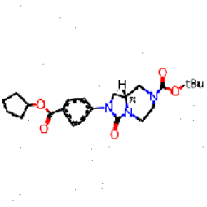 CC(C)(C)OC(=O)N1CCN2C(=O)N(c3ccc(C(=O)OC4CCCC4)cc3)C[C@@H]2C1